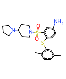 Cc1ccc(C)c(Sc2ccc(N)cc2S(=O)(=O)N2CCC(N3CCCC3)CC2)c1